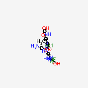 Cc1cc(C(=O)N[C@H]2CC[C@H](O)CC2)ccc1-c1ccc(C[C@H](NC(=O)[C@H]2CC[C@H](CN)CC2)C(=O)Nc2ccc(-c3nc(C(F)(F)C(F)(F)CO)n[nH]3)cc2)cc1.Cl